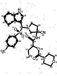 Cc1ccc(S(=O)(=O)C(c2c[nH]c3ccccc23)N2CCC(C#N)(NC(=O)C(CC(C)C)OC(=O)N3CCOCC3)C2)cc1